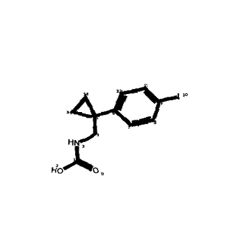 O=C(O)NCC1(c2ccc(I)cc2)CC1